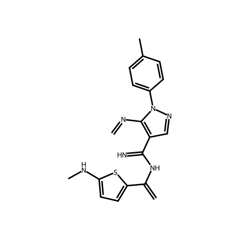 C=Nc1c(C(=N)NC(=C)c2ccc(NC)s2)cnn1-c1ccc(C)cc1